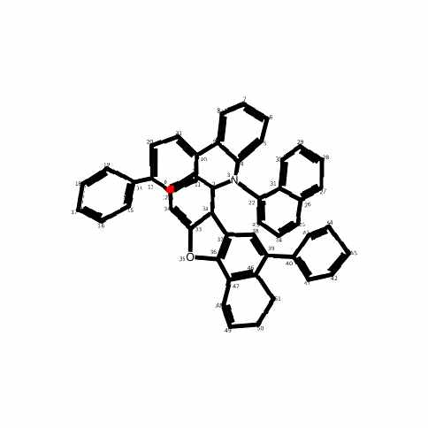 C1=CC(N(c2ccccc2-c2ccc(-c3ccccc3)cc2)c2cccc3ccccc23)C2C(=C1)Oc1c2cc(-c2ccccc2)c2c1C=CCC2